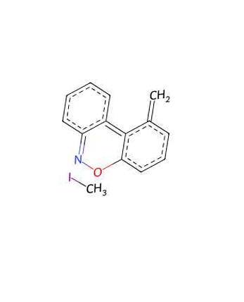 C=c1cccc2c1=c1ccccc1=NO2.CI